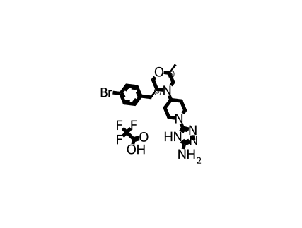 C[C@H]1CN(C2CCN(c3nnc(N)[nH]3)CC2)[C@@H](Cc2ccc(Br)cc2)CO1.O=C(O)C(F)(F)F